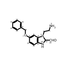 NCCN1c2cc(OCc3ccccc3)ccc2NC1C=O